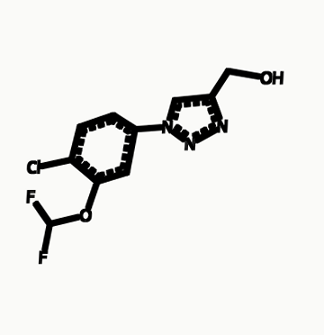 OCc1cn(-c2ccc(Cl)c(OC(F)F)c2)nn1